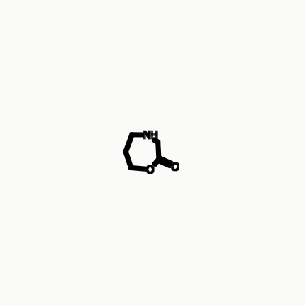 O=C1CNCCCO1